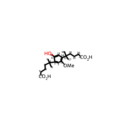 COc1cc(C(C)(C)CCCC(=O)O)c(O)cc1C(C)(C)CCCC(=O)O